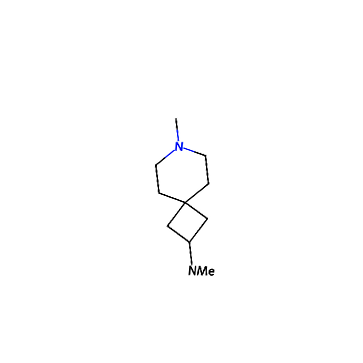 CNC1CC2(CCN(C)CC2)C1